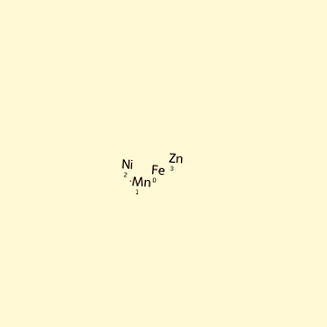 [Fe].[Mn].[Ni].[Zn]